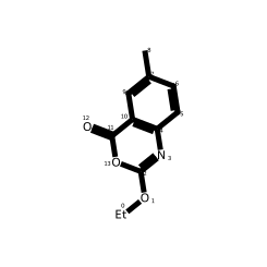 CCOc1nc2ccc(C)cc2c(=O)o1